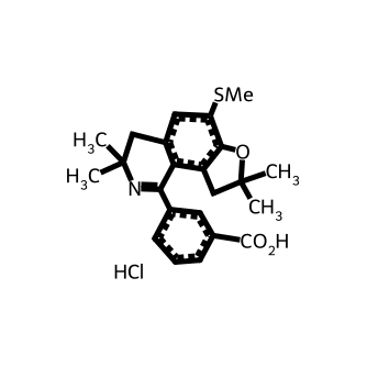 CSc1cc2c(c3c1OC(C)(C)C3)C(c1cccc(C(=O)O)c1)=NC(C)(C)C2.Cl